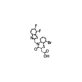 O=C(O)CC1Sc2c(Br)cccc2N(Cc2nc3ccc(F)c(F)c3s2)C1=O